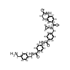 NCc1ccc(CNC(=O)c2ccc(NC(=O)c3ccc(CN(C(=O)c4ccc5c(c4)CCC(=O)N5)C4CC4)cc3)cc2)cc1